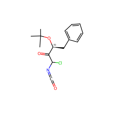 CC(C)(C)O[C@@H](Cc1ccccc1)C(=O)C(Cl)N=C=O